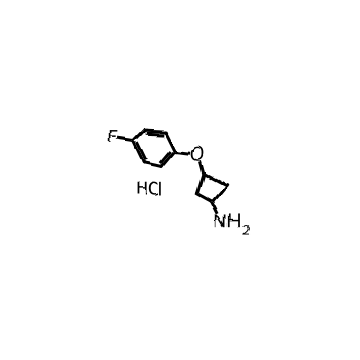 Cl.NC1CC(Oc2ccc(F)cc2)C1